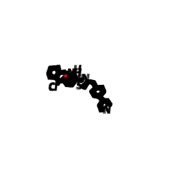 NC1(C(=O)Nc2nc(Cc3ccc(-c4ccncc4)cc3)cs2)CC2(Cl)c3ccccc3C1c1ccccc12